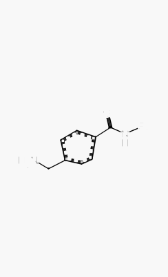 CCNC(=O)c1ccc(CN)cc1